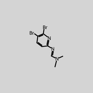 CN(C)C=Nc1ccc(Br)c(Br)n1